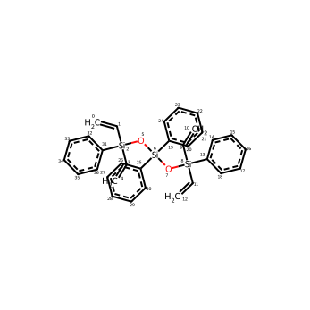 C=C[Si](C=C)(O[Si](O[Si](C=C)(C=C)c1ccccc1)(c1ccccc1)c1ccccc1)c1ccccc1